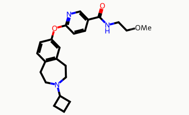 COCCNC(=O)c1ccc(Oc2ccc3c(c2)CCN(C2CCC2)CC3)nc1